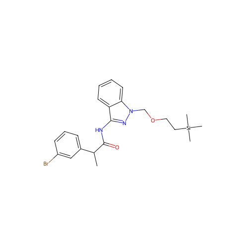 CC(C(=O)Nc1nn(COCC[Si](C)(C)C)c2ccccc12)c1cccc(Br)c1